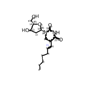 CCCCC/C=C/c1cn([C@H]2CC(O)[C@@H](CO)O2)c(=O)[nH]c1=O